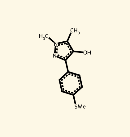 CSc1ccc(-c2nn(C)c(C)c2O)cc1